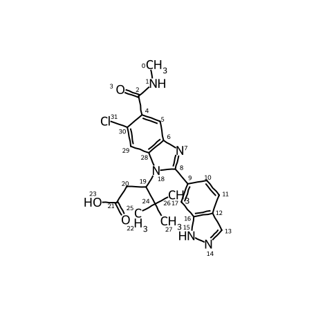 CNC(=O)c1cc2nc(-c3ccc4cn[nH]c4c3)n(C(CC(=O)O)C(C)(C)C)c2cc1Cl